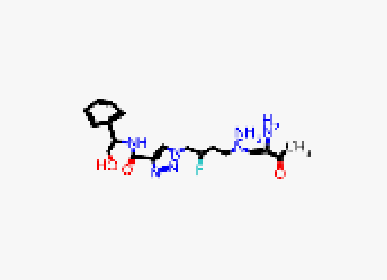 CC(=O)/C(N)=C/N(N)CCC(F)Cn1cc(C(=O)NC(CO)c2ccccc2)nn1